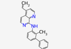 C=Cc1ccnc2c(Nc3cccc(-c4ccccc4)c3C)nccc12